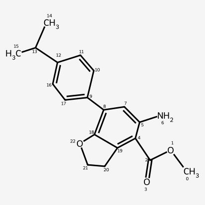 COC(=O)c1c(N)cc(-c2ccc(C(C)C)cc2)c2c1CCO2